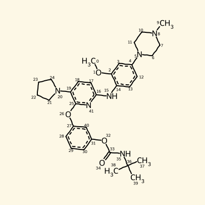 COc1cc(N2CCN(C)CC2)ccc1Nc1ccc(N2CCCC2)c(Oc2cccc(OC(=O)NC(C)(C)C)c2)n1